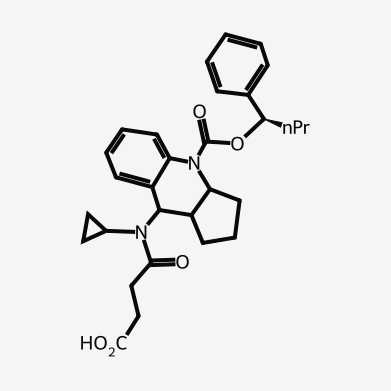 CCC[C@@H](OC(=O)N1c2ccccc2C(N(C(=O)CCC(=O)O)C2CC2)C2CCCC21)c1ccccc1